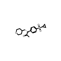 CC(=O)[C@H](CC1CCOCC1)c1ccc(S(=O)(=O)C2CC2)cc1